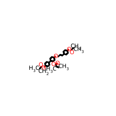 C=C(C)C(=O)Oc1ccc(/C=C/COc2ccc(-c3ccc(OC(=O)C(=C)C)cc3)c(OC(=O)/C(C)=C\C)c2)cc1